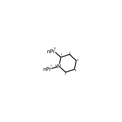 CCCC1CCCCN1CCC